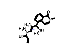 C=CC(CC)N(N)/C=C(\N)C(NS)c1cccc2c(=O)n(C)ccc12